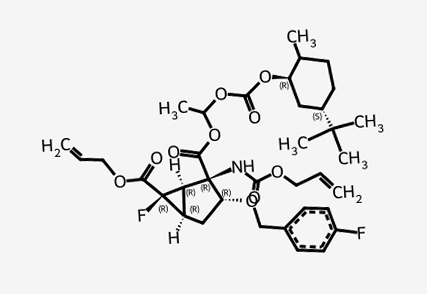 C=CCOC(=O)N[C@@]1(C(=O)OC(C)OC(=O)O[C@@H]2C[C@@H](C(C)(C)C)CCC2C)[C@H](OCc2ccc(F)cc2)C[C@@H]2[C@H]1[C@@]2(F)C(=O)OCC=C